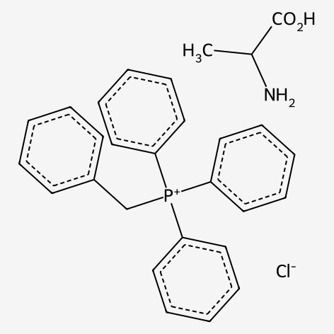 CC(N)C(=O)O.[Cl-].c1ccc(C[P+](c2ccccc2)(c2ccccc2)c2ccccc2)cc1